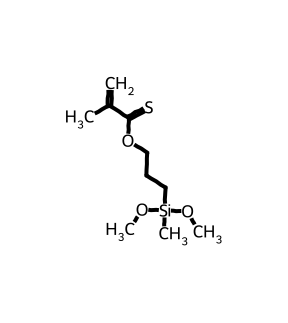 C=C(C)C(=S)OCCC[Si](C)(OC)OC